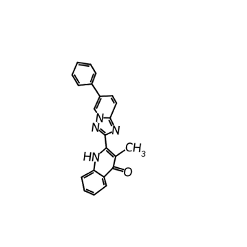 Cc1c(-c2nc3ccc(-c4ccccc4)cn3n2)[nH]c2ccccc2c1=O